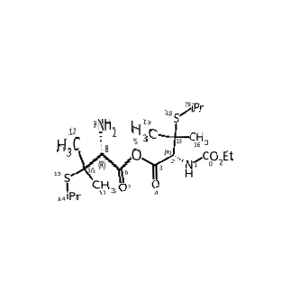 CCOC(=O)N[C@H](C(=O)OC(=O)[C@@H](N)C(C)(C)SC(C)C)C(C)(C)SC(C)C